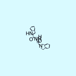 O=C(NC[C@H](O)CN1CCc2ccccc2C1)c1cc2ccccc2[nH]1